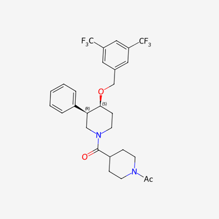 CC(=O)N1CCC(C(=O)N2CC[C@H](OCc3cc(C(F)(F)F)cc(C(F)(F)F)c3)[C@H](c3ccccc3)C2)CC1